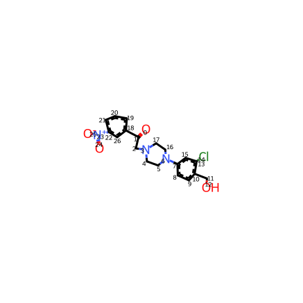 O=C(CN1CCN(c2ccc(CO)c(Cl)c2)CC1)c1cccc([N+](=O)[O-])c1